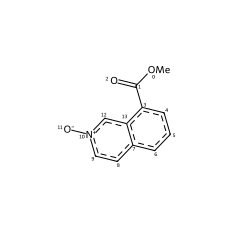 COC(=O)c1cccc2cc[n+]([O-])cc12